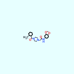 Cc1ccccc1C(=O)N1CCN(CC(=O)Nc2ccc3c(c2)OCO3)CC1